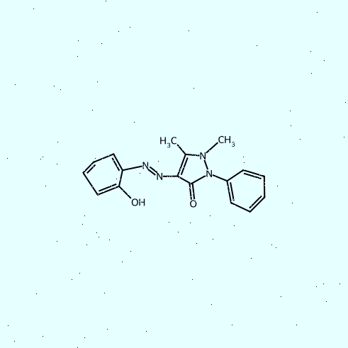 Cc1c(/N=N/c2ccccc2O)c(=O)n(-c2ccccc2)n1C